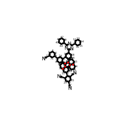 N#Cc1cccc(-c2ccc(-n3c4ccccc4c4cc(-c5c(C#N)cc(C#N)cc5C#N)ccc43)c(-c3cc(-c4nc(-c5ccccc5)nc(-c5ccccc5)n4)ccc3-n3c4ccccc4c4ccccc43)c2)c1